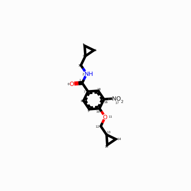 O=C(NCC1CC1)c1ccc(OCC2CC2)c([N+](=O)[O-])c1